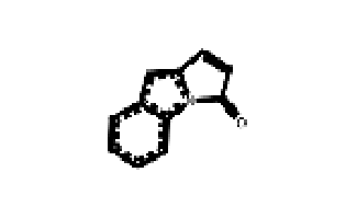 O=C1C=Cc2cc3ccccc3n21